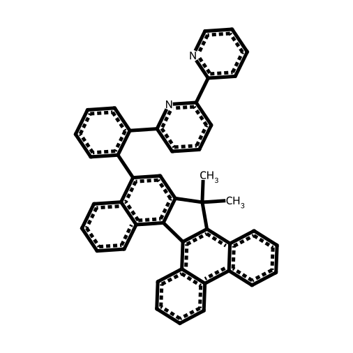 CC1(C)c2cc(-c3ccccc3-c3cccc(-c4ccccn4)n3)c3ccccc3c2-c2c1c1ccccc1c1ccccc21